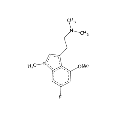 COc1cc(F)cc2c1c(CCN(C)C)cn2C